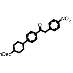 CCCCCCCCCCC1CCC(c2ccc(C(=O)Cc3ccc([N+](=O)[O-])cc3)cc2)CC1